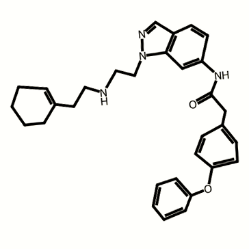 O=C(Cc1ccc(Oc2ccccc2)cc1)Nc1ccc2cnn(CCNCCC3=CCCCC3)c2c1